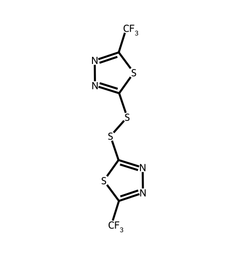 FC(F)(F)c1nnc(SSc2nnc(C(F)(F)F)s2)s1